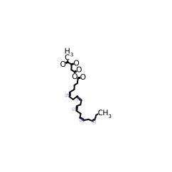 CC/C=C\C/C=C\C/C=C\C/C=C\C/C=C\CCCC(=O)OC(=O)CC(=O)C(C)=O